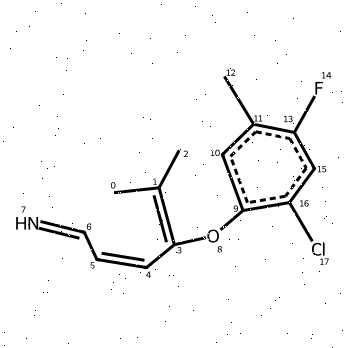 CC(C)=C(/C=C\C=N)Oc1cc(C)c(F)cc1Cl